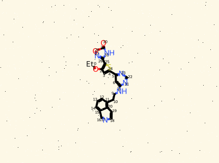 CCOc1cc(-c2cc(NCCc3cccc4cnccc34)ncn2)sc1-c1noc(=O)[nH]1